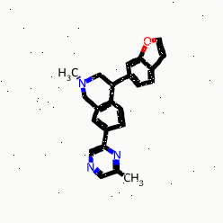 Cc1cncc(-c2ccc3c(c2)CN(C)CC3c2ccc3ccoc3c2)n1